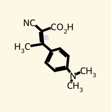 C/C(=C(\C#N)C(=O)O)c1ccc(N(C)C)cc1